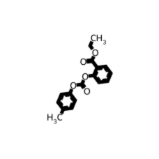 CCOC(=O)c1ccccc1OC(=O)Oc1ccc(C)cc1